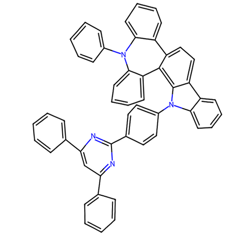 c1ccc(-c2cc(-c3ccccc3)nc(-c3ccc(-n4c5ccccc5c5ccc6c(c54)-c4ccccc4N(c4ccccc4)c4ccccc4-6)cc3)n2)cc1